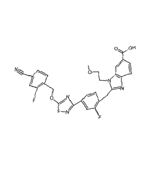 COCCn1c(Cc2ccc(-c3nsc(OCc4ccc(C#N)cc4F)n3)cc2F)nc2ccc(C(=O)O)cc21